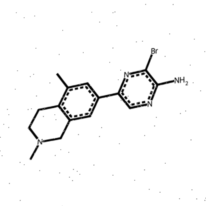 Cc1cc(-c2cnc(N)c(Br)n2)cc2c1CCN(C)C2